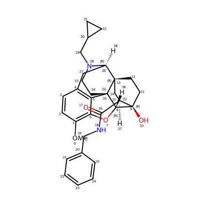 COc1ccc2c3c1O[C@H]1[C@@]4(O)CC[C@]5(C[C@@H]4C(=O)NCc4ccccc4)[C@@H](C2)N(CC2CC2)CC[C@]315